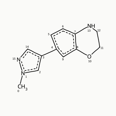 Cn1cc(-c2ccc3c(c2)OCCN3)cn1